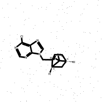 CC1(C)[C@H]2CC=C(Cn3cnc4c(Cl)ncnc43)[C@H]1C2